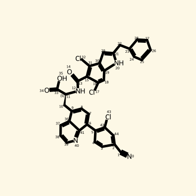 N#Cc1ccc(-c2ccc(C[C@H](NC(=O)c3c(Cl)cc4[nH]c(Cc5ccccc5)cc4c3Cl)C(=O)O)c3cccnc23)c(Cl)c1